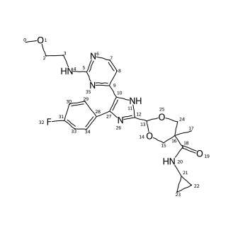 COCCNc1nccc(-c2[nH]c(C3OCC(C)(C(=O)NC4CC4)CO3)nc2-c2ccc(F)cc2)n1